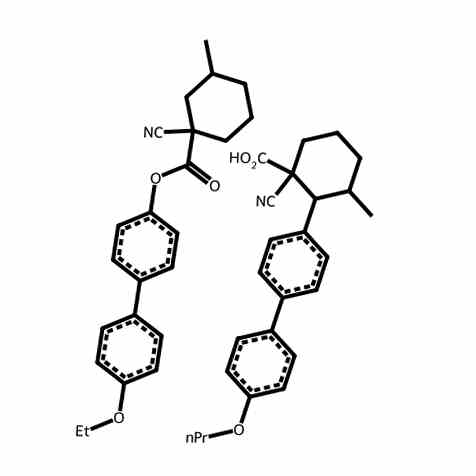 CCCOc1ccc(-c2ccc(C3C(C)CCCC3(C#N)C(=O)O)cc2)cc1.CCOc1ccc(-c2ccc(OC(=O)C3(C#N)CCCC(C)C3)cc2)cc1